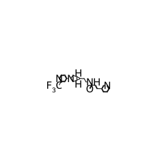 O=C(/C=C/c1cccnc1)NCCC1[C@H]2CN(c3ccnc(C(F)(F)F)c3)C[C@@H]12